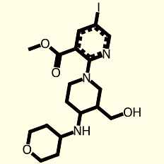 COC(=O)c1cc(I)cnc1N1CCC(NC2CCOCC2)C(CO)C1